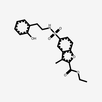 CCOC(=O)c1oc2ccc(S(=O)(=O)NCCc3ccccc3O)cc2c1C